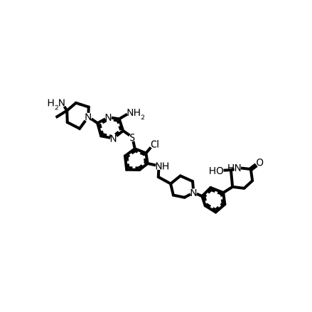 CC1(N)CCN(c2cnc(Sc3cccc(NCC4CCN(c5cccc(C6CCC(=O)NC6O)c5)CC4)c3Cl)c(N)n2)CC1